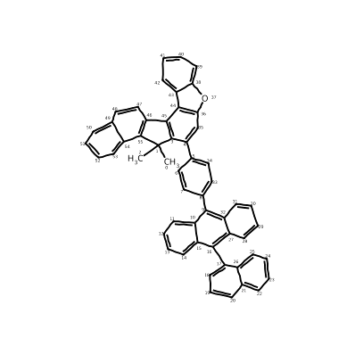 CC1(C)c2c(-c3ccc(-c4c5ccccc5c(-c5cccc6ccccc56)c5ccccc45)cc3)cc3oc4ccccc4c3c2-c2ccc3ccccc3c21